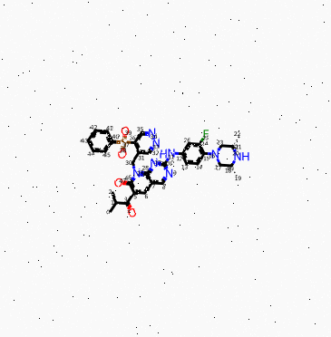 CC(C)C(=O)c1cc2cnc(Nc3ccc(N4C[C@@H](C)N[C@@H](C)C4)c(F)c3)nc2n(Cc2cnncc2S(=O)(=O)c2ccccc2)c1=O